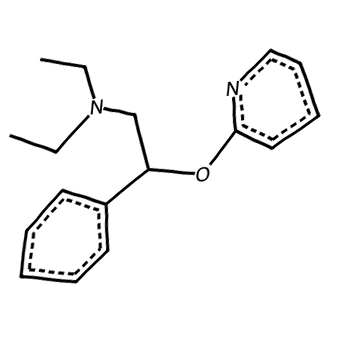 CCN(CC)CC(Oc1ccccn1)c1ccccc1